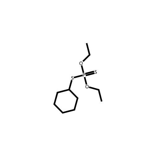 CCOP(=S)(OCC)SC1CCCCC1